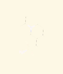 CC(C)N1CCCC(CS(N)(=O)=O)C1